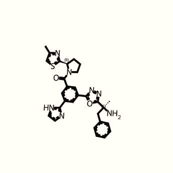 Cc1csc([C@H]2CCCN2C(=O)c2cc(-c3ncc[nH]3)cc(-c3nnc([C@@](C)(N)Cc4ccccc4)o3)c2)n1